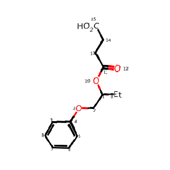 CCC(COc1ccccc1)OC(=O)CCC(=O)O